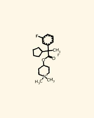 CC(C(=O)OC1CC[N+](C)(C)CC1)(c1cccc(F)c1)C1CCCC1.[I-]